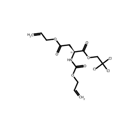 C=CCOC(=O)C[C@H](NC(=O)OCC=C)C(=O)OCC(Cl)(Cl)Cl